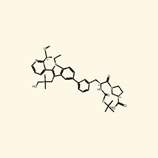 CCn1c(-c2cccnc2[C@H](C)OC)c(CC(C)(C)CO)c2cc(-c3cccc(C[C@H](NC(=O)OC(C)(C)C)C(=O)N4CC[C@@H](C(=O)O)C4)c3)ccc21